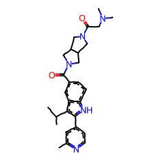 Cc1cc(-c2[nH]c3ccc(C(=O)N4CC5CN(C(=O)CN(C)C)CC5C4)cc3c2C(C)C)ccn1